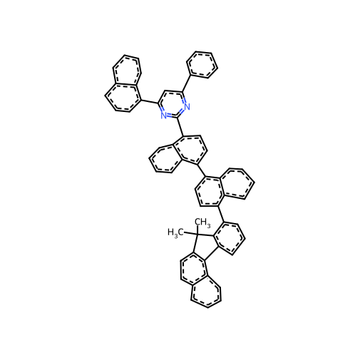 CC1(C)c2ccc3ccccc3c2-c2cccc(-c3ccc(-c4ccc(-c5nc(-c6ccccc6)cc(-c6cccc7ccccc67)n5)c5ccccc45)c4ccccc34)c21